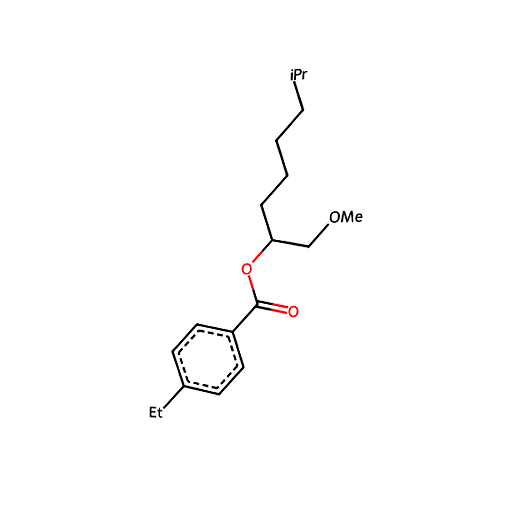 CCc1ccc(C(=O)OC(CCCCC(C)C)COC)cc1